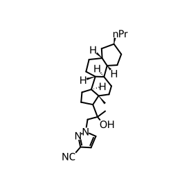 CCC[C@H]1CC[C@H]2[C@H](CC[C@@H]3[C@@H]2CC[C@]2(C)C(C(C)(O)Cn4ccc(C#N)n4)CC[C@@H]32)C1